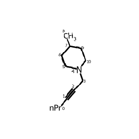 CCCC#CCN1CCC(C)CC1